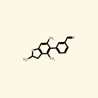 Cc1cc2c(c(C)c1-c1cccc(C=O)c1)CC(C)O2